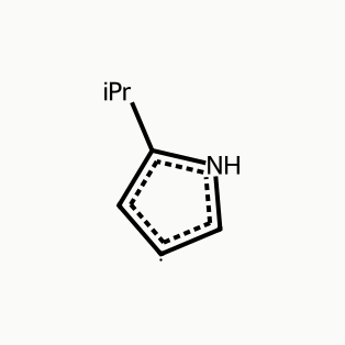 CC(C)c1c[c]c[nH]1